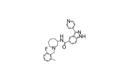 Cc1cccc(F)c1CN1CCCCC(NC(=O)c2ccc3[nH]nc(-c4ccncc4)c3c2)C1